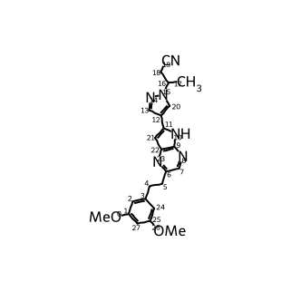 COc1cc(CCc2cnc3[nH]c(-c4cnn(C(C)CC#N)c4)cc3n2)cc(OC)c1